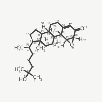 C[C@H](CCCC(C)(C)O)[C@H]1CC[C@H]2[C@@H]3CCC4=CC(=O)[C@@H]5O[C@@H]5[C@]4(C)[C@H]3CC[C@]12C